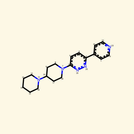 c1cc(-c2ccc(N3CCC(N4CCCCC4)CC3)nn2)ccn1